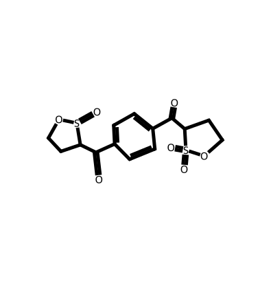 O=C(c1ccc(C(=O)C2CCOS2(=O)=O)cc1)C1CCOS1=O